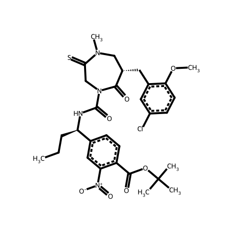 CCC[C@@H](NC(=O)N1CC(=S)N(C)C[C@H](Cc2cc(Cl)ccc2OC)C1=O)c1ccc(C(=O)OC(C)(C)C)c([N+](=O)[O-])c1